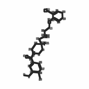 CCc1cc(C(=O)N2CCC(F)(CNCCOC3=CCCC=C3Cl)CC2)ccc1C